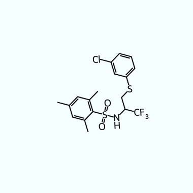 Cc1cc(C)c(S(=O)(=O)NC(CSc2cccc(Cl)c2)C(F)(F)F)c(C)c1